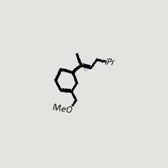 COCC1=CCCC(/C(C)=C/CC(C)C)C1